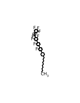 CCCCCCCCCCCC1CCC(c2ccc(-c3ccc(-c4cc(F)c(C(F)(F)Oc5cc(F)c(F)c(F)c5)c(F)c4)c(F)c3)c(F)c2)CC1